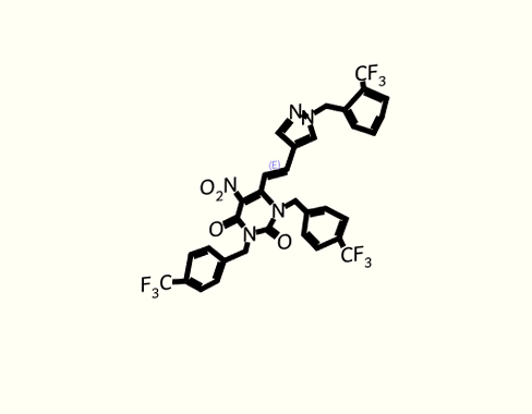 O=c1c([N+](=O)[O-])c(/C=C/c2cnn(Cc3ccccc3C(F)(F)F)c2)n(Cc2ccc(C(F)(F)F)cc2)c(=O)n1Cc1ccc(C(F)(F)F)cc1